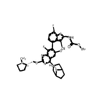 CN1CCC[C@H]1COc1nc(N2CC3CCC(C2)N3C(=O)O)c2cc(Cl)c(-c3ccc(F)c4sc(NC(=O)OC(C)(C)C)c(C#N)c34)c(F)c2n1